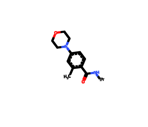 Cc1cc(N2CCOCC2)ccc1C(=O)NC(C)C